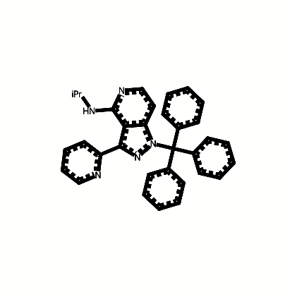 CC(C)Nc1nccc2c1c(-c1ccccn1)nn2C(c1ccccc1)(c1ccccc1)c1ccccc1